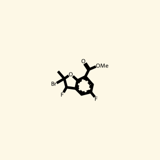 COC(=O)c1cc(F)cc2c1OC(C)(Br)C2F